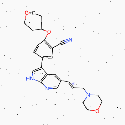 N#Cc1cc(-c2c[nH]c3ncc(/C=C/CN4CCOCC4)cc23)ccc1OC1CCOCC1